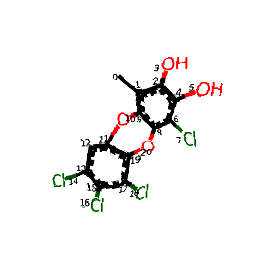 Cc1c(O)c(O)c(Cl)c2c1Oc1cc(Cl)c(Cl)c(Cl)c1O2